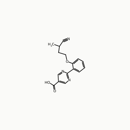 CC(C#N)CCOc1ccccc1-c1ncc(C(=O)O)cn1